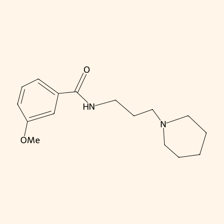 COc1cccc(C(=O)NCCCN2CCCCC2)c1